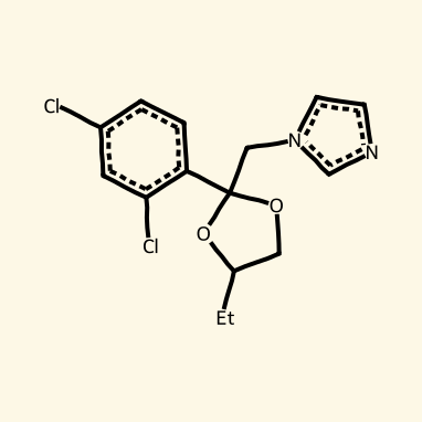 CCC1COC(Cn2ccnc2)(c2ccc(Cl)cc2Cl)O1